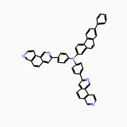 c1ccc(-c2ccc3c(ccc4cc(N(c5ccc(-c6cc7ccc8cnccc8c7cn6)cc5)c5ccc(-c6cc7ccc8cnccc8c7cn6)cc5)ccc43)c2)cc1